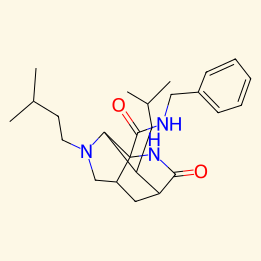 CC(C)CCN1CC2CC3C(=O)NC2(C(=O)NCc2ccccc2)C1C3CC(C)C